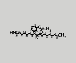 CC(=O)Oc1ccccc1.CCCCCCCCC=CCCCCCCCC[NH-].[K+]